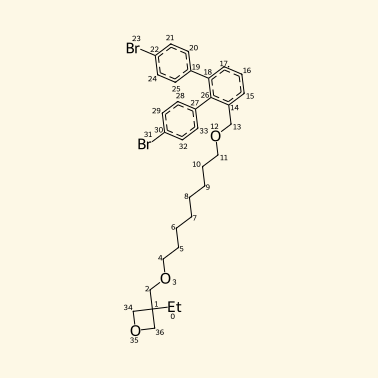 CCC1(COCCCCCCCCOCc2cc[c]c(-c3ccc(Br)cc3)c2-c2ccc(Br)cc2)COC1